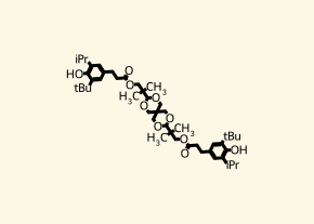 CC(C)c1cc(CCC(=O)OCC(C)(C)C2OCC3(CO2)COC(C(C)(C)COC(=O)CCc2cc(C(C)C)c(O)c(C(C)(C)C)c2)OC3)cc(C(C)(C)C)c1O